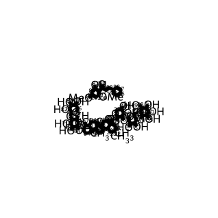 CC1OC(OC2CCC3(C)C(CCC4(C)C3CC=C3C5CC(C)(C)CCC5(C(=O)OC5OCC(O)C(O)C5OC5OC(C)C(OC6OC(CO)C(O)C(O)C6O)C(O)C5O)C(O)CC34C)C2(C)C)C(O)C(O)C1OC1OCC(O)C(O)C1O.COc1cc(O)c(C(=O)C=Cc2ccccc2)c(OC)c1